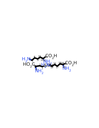 CSCCC(N)C(=O)O.NCCCCC(N)C(=O)O.NCCCCC(N)C(=O)O